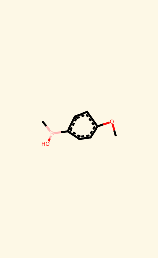 COc1ccc(B(C)O)cc1